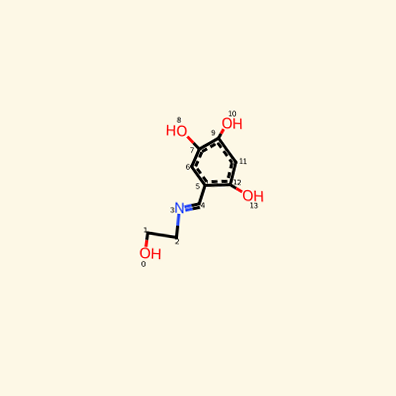 OCC/N=C/c1cc(O)c(O)cc1O